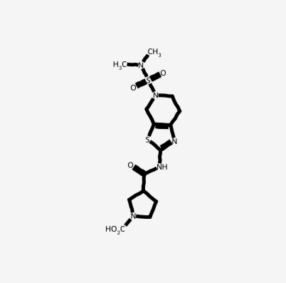 CN(C)S(=O)(=O)N1CCc2nc(NC(=O)C3CCN(C(=O)O)C3)sc2C1